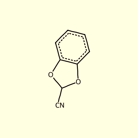 N#CC1Oc2ccccc2O1